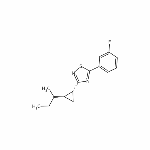 CCC(C)[C@@H]1C[C@H]1c1nsc(-c2cccc(F)c2)n1